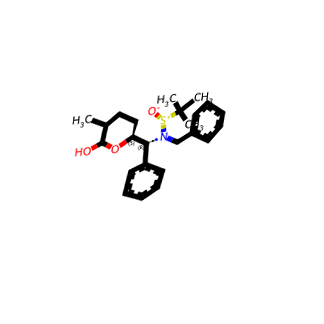 CC1CC[C@@H]([C@@H](c2ccccc2)N(Cc2ccccc2)[S+]([O-])C(C)(C)C)OC1O